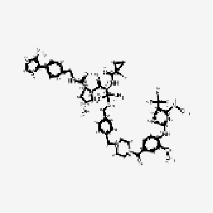 CNc1nc(Nc2ccc(C(=O)N3CCN(Cc4ccc(CSC(C)(C)[C@H](NC(=O)C5(F)CC5)C(=O)N5C[C@H](O)C[C@H]5C(=O)NCc5ccc(-c6scnc6C)cc5)cc4)CC3)cc2OC)ncc1C(F)(F)F